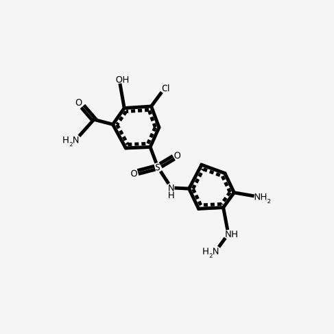 NNc1cc(NS(=O)(=O)c2cc(Cl)c(O)c(C(N)=O)c2)ccc1N